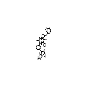 Cc1cccc(COc2nc(C)n(-c3cccc(-c4nc(C(C)C)ncc4C)c3)c(=O)c2C)n1